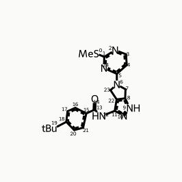 CSc1nccc(N2Cc3[nH]nc(NC(=O)c4ccc(C(C)(C)C)cc4)c3C2)n1